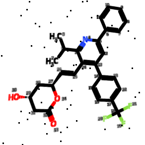 CC(C)c1nc(-c2ccccc2)cc(-c2ccc(C(F)(F)F)cc2)c1/C=C/[C@@H]1C[C@@H](O)CC(=O)O1